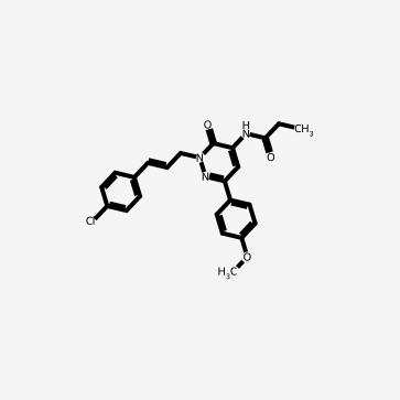 CCC(=O)Nc1cc(-c2ccc(OC)cc2)nn(CC=Cc2ccc(Cl)cc2)c1=O